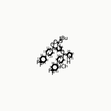 CC(C)(C)OC(=O)N1CCC[C@H]1C(=O)N1CCN(C2CCC(F)(F)CC2)CC1.Cl.O=C([C@@H]1CCCN1)N1CCN(C2CCC(F)(F)CC2)CC1